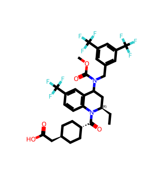 CC[C@@H]1CC(N(Cc2cc(C(F)(F)F)cc(C(F)(F)F)c2)C(=O)OC)c2cc(C(F)(F)F)ccc2N1C(=O)[C@H]1CC[C@H](CC(=O)O)CC1